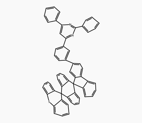 c1ccc(-c2cc(-c3cccc(-c4ccc5c(c4)C4(c6ccccc6-5)c5ccccc5C5(c6ccccc6Sc6ccccc65)c5ccccc54)c3)nc(-c3ccccc3)n2)cc1